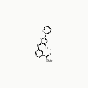 COC(=O)c1cccc(N=c2sc(-c3ccccn3)nn2C)c1